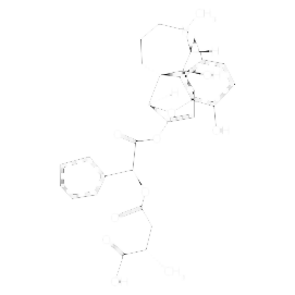 C[C@@H](CC(=O)O[C@H](C(=O)OC1=CC[C@@]2(O)[C@H]3Cc4ccc(O)c5c4[C@@]2(CCCN3C)[C@H]1O5)c1ccccc1)C(=O)O